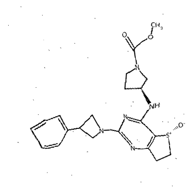 COC(=O)N1CC[C@H](Nc2nc(N3CC(c4ccccc4)C3)nc3c2[S@+]([O-])CC3)C1